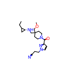 CCC1C[C@H]1NCC1(COC)CCN(C(=O)c2ccn(CCC#N)n2)CC1